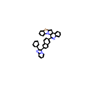 c1ccc(-c2nc3ccccn3c2-c2ccc3cc(-c4nc5ccccc5c5cc6sc7ccccc7n6c45)ccc3c2)cc1